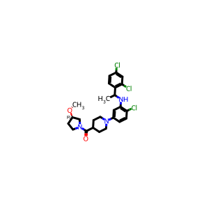 CO[C@@H]1CCN(C(=O)C2CCN(c3ccc(Cl)c(NC(C)c4ccc(Cl)cc4Cl)c3)CC2)C1